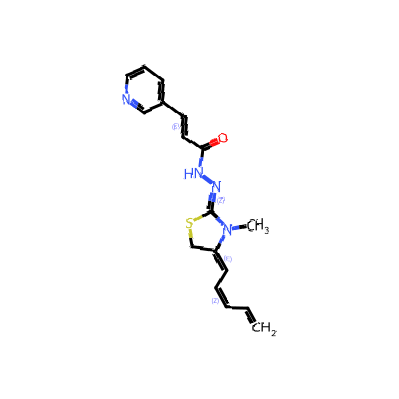 C=C/C=C\C=C1/CS/C(=N\NC(=O)/C=C/c2cccnc2)N1C